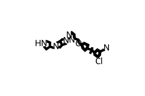 CC(C)(c1ccc(OCc2ccnc(N3CC4CN(CC5CCNCC5)CC4C3)n2)cc1)c1cc(Cl)cc(C#N)c1